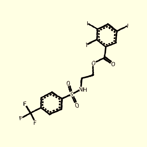 O=C(OCCNS(=O)(=O)c1ccc(C(F)(F)F)cc1)c1cc(I)cc(I)c1I